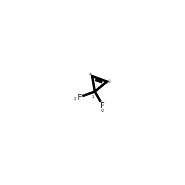 FC1(F)[C]=C1